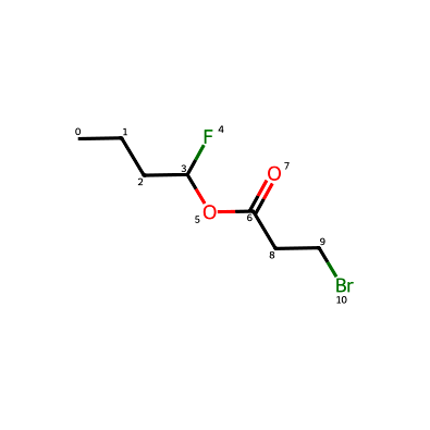 CCCC(F)OC(=O)CCBr